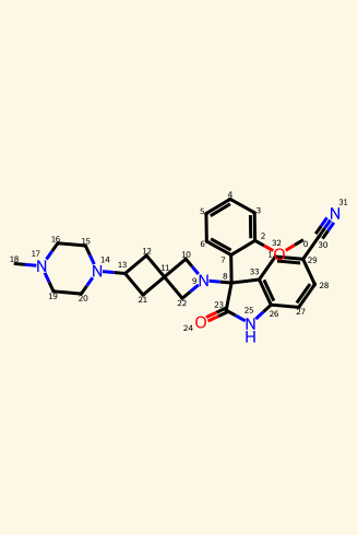 COc1ccccc1C1(N2CC3(CC(N4CCN(C)CC4)C3)C2)C(=O)Nc2ccc(C#N)cc21